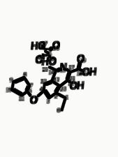 CCc1cc(Oc2ccccc2)cc2c(C)nc(C(=O)O)c(O)c12.O=S(=O)(O)O